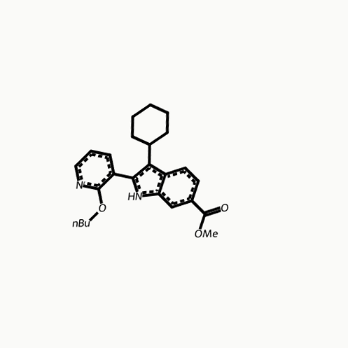 CCCCOc1ncccc1-c1[nH]c2cc(C(=O)OC)ccc2c1C1CCCCC1